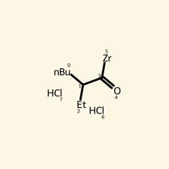 CCCCC(CC)[C](=O)[Zr].Cl.Cl